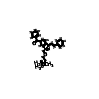 C[Si](C)(C)CCOCn1nc(C=Cc2ccccc2)c2ccc(C(=O)c3ccccc3)cc21